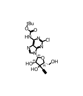 C#C[C@@]1(O)[C@@H](CO)O[C@@H](n2cnc3c(NC(=O)OC(C)(C)C)nc(Cl)nc32)[C@@H]1O